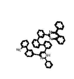 N#Cc1ccccc1-c1cccc(C2=NC(c3ccccc3)NC(c3ccccc3-c3ccccc3-c3cccc(-c4nc(-c5ccccc5)c5ccccc5n4)c3)=C2)c1